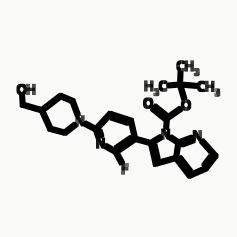 CC(C)(C)OC(=O)n1c(-c2ccc(N3CCC(CO)CC3)nc2F)cc2cccnc21